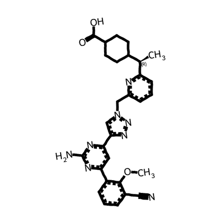 COc1c(C#N)cccc1-c1cc(-c2cn(Cc3cccc([C@H](C)C4CCC(C(=O)O)CC4)n3)nn2)nc(N)n1